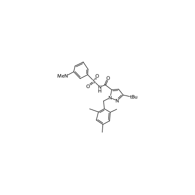 CNc1cccc(S(=O)(=O)NC(=O)c2cc(C(C)(C)C)nn2Cc2c(C)cc(C)cc2C)c1